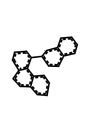 [c]1c(-c2cccc3ccc4ccccc4c23)ccc2ccccc12